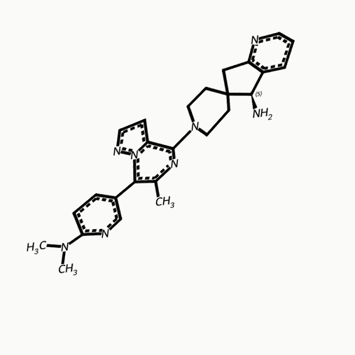 Cc1nc(N2CCC3(CC2)Cc2ncccc2[C@H]3N)c2ccnn2c1-c1ccc(N(C)C)nc1